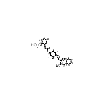 CCN(Cc1ccccc1)C(=O)COc1ccc(CCSc2ccccc2C(=O)O)cc1